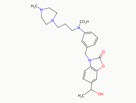 CC(O)c1ccc2c(c1)oc(=O)n2Cc1cccc(N(CCCN2CCN(C)CC2)C(=O)O)c1